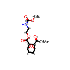 COC(=O)C1C2C=CC(O2)C1C(=O)OCCNC(=O)OC(C)(C)C